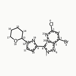 Clc1cc(Br)c2nnc(-c3ccn(C4CCCCO4)n3)n2n1